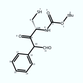 CC(C)(C)OC(=O)N[C@@H](CS)C(=O)[C](C=O)c1ccccc1